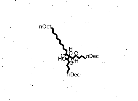 CCCCCCCCC=CCCCCCCCC(=O)C(O)(C(O)C(=O)CCCCCCCCCCCCC)C(O)C(=O)CCCCCCCCCCCCC